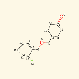 O=C1CCC(COCc2ccccc2F)CC1